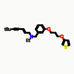 CCN(CC=CC#CC(C)(C)C)Cc1cccc(OCCCOc2ccsc2)c1